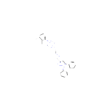 Cc1cccc(N2CCN(CCNCc3cc(-c4ccccc4)n(-c4ccccc4)n3)CC2)c1C